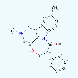 Cc1ccc2c(c1)c1c3n2C(=O)C(c2ccccc2)COC3CN(C)C1